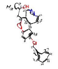 CC(O)CC(Oc1ccc(OCc2ccccc2)cc1)c1cccnc1